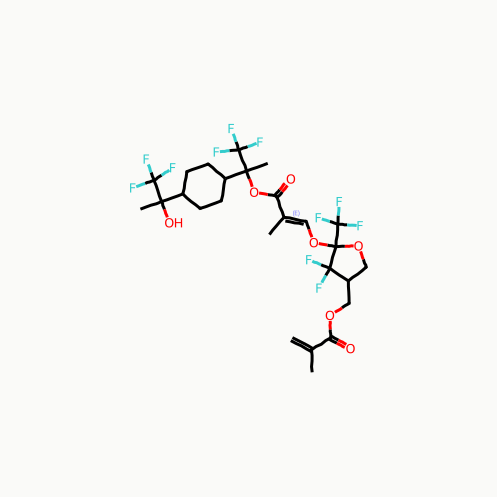 C=C(C)C(=O)OCC1COC(O/C=C(\C)C(=O)OC(C)(C2CCC(C(C)(O)C(F)(F)F)CC2)C(F)(F)F)(C(F)(F)F)C1(F)F